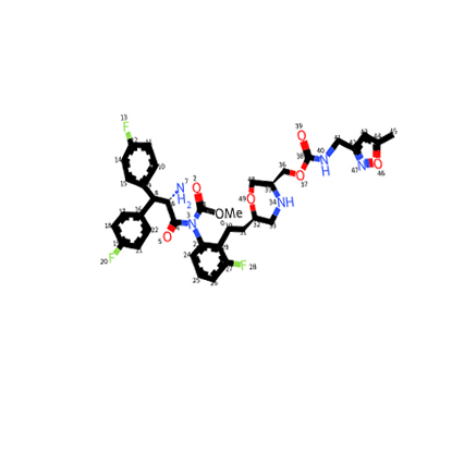 COC(=O)N(C(=O)[C@@H](N)C(c1ccc(F)cc1)c1ccc(F)cc1)c1cccc(F)c1CC[C@@H]1CN[C@H](COC(=O)NCc2cc(C)on2)CO1